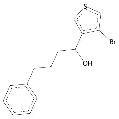 OC(CCCc1ccccc1)c1cscc1Br